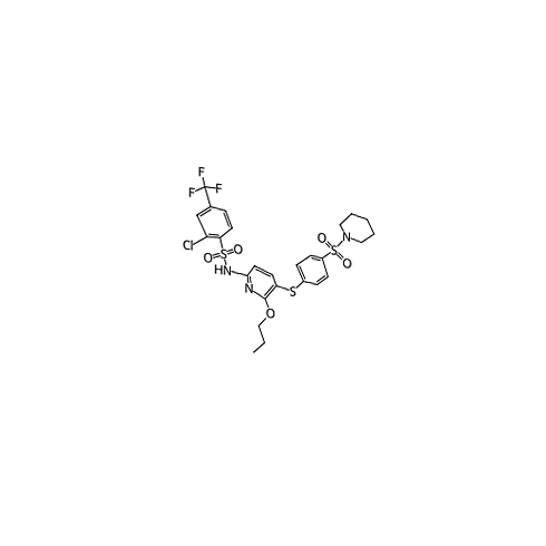 CCCOc1nc(NS(=O)(=O)c2ccc(C(F)(F)F)cc2Cl)ccc1Sc1ccc(S(=O)(=O)N2CCCCC2)cc1